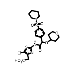 O=C(O)Cc1nc(NC(=O)C(OC2CCOCC2)c2ccc(S(=O)(=O)N3CCCCC3)cc2)sc1Cl